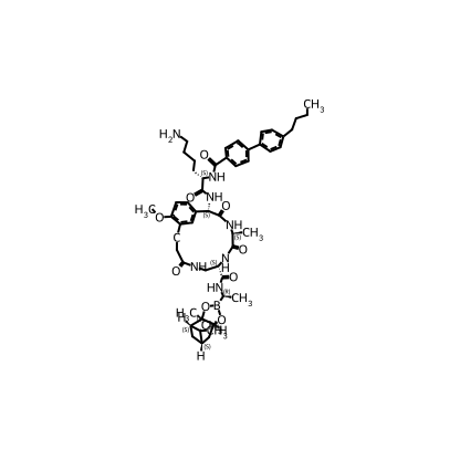 CCCCc1ccc(-c2ccc(C(=O)N[C@@H](CCCCN)C(=O)N[C@@H]3C(=O)N[C@@H](C)C(=O)N[C@H](C(=O)N[C@@H](C)B4O[C@@H]5C[C@@H]6C[C@@H](C6(C)C)[C@]5(C)O4)CNC(=O)CCc4cc3ccc4OC)cc2)cc1